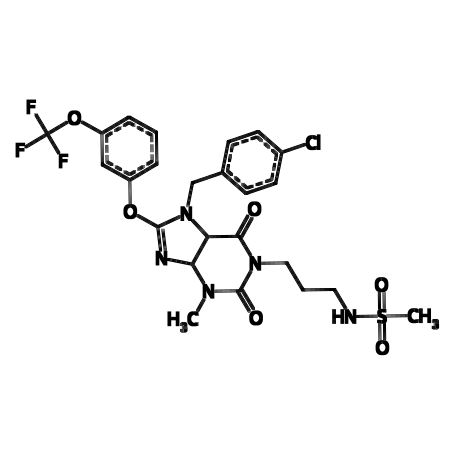 CN1C(=O)N(CCCNS(C)(=O)=O)C(=O)C2C1N=C(Oc1cccc(OC(F)(F)F)c1)N2Cc1ccc(Cl)cc1